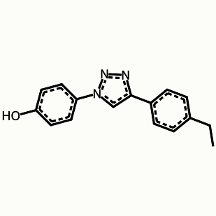 CCc1ccc(-c2cn(-c3ccc(O)cc3)nn2)cc1